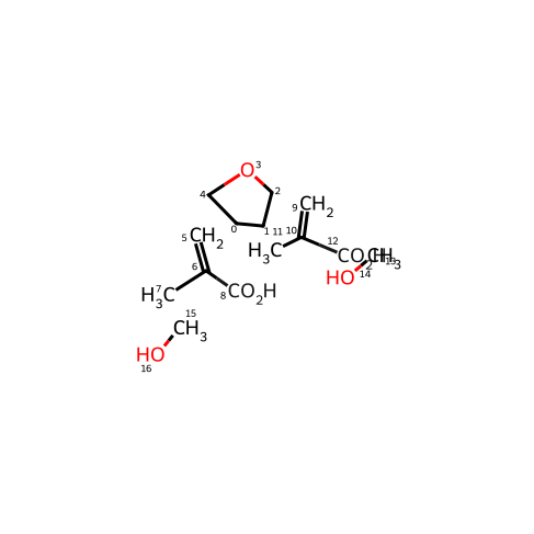 C1CCOC1.C=C(C)C(=O)O.C=C(C)C(=O)O.CO.CO